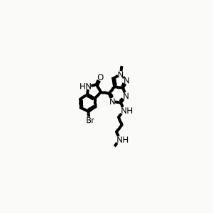 CNCCCNc1nc(C2C(=O)Nc3ccc(Br)cc32)c2cn(C)nc2n1